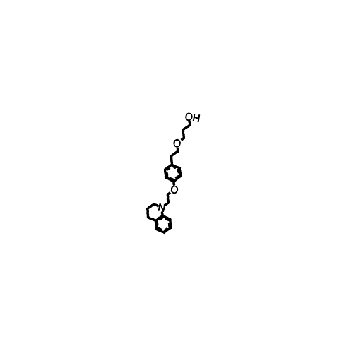 OCCCOCCc1ccc(OCCN2CCCc3ccccc32)cc1